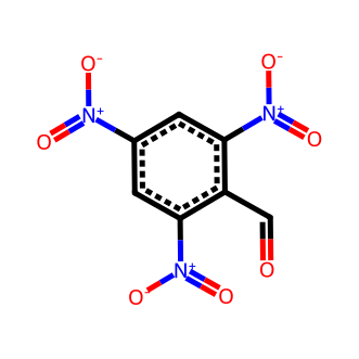 O=Cc1c([N+](=O)[O-])cc([N+](=O)[O-])cc1[N+](=O)[O-]